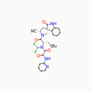 CC(C)(C)C[C@@H](C(=O)N1C[C@]2(C[C@H]1C#N)C(=O)Nc1ccccc12)N(C(=O)C(=O)Nc1ccccn1)C(F)F